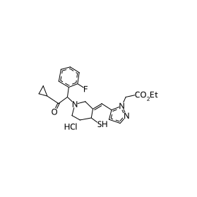 CCOC(=O)Cn1nccc1/C=C1/CN(C(C(=O)C2CC2)c2ccccc2F)CCC1S.Cl